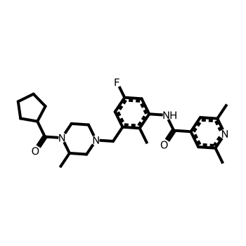 Cc1cc(C(=O)Nc2cc(F)cc(CN3CCN(C(=O)C4CCCC4)C(C)C3)c2C)cc(C)n1